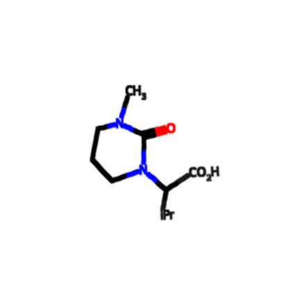 CC(C)C(C(=O)O)N1CCCN(C)C1=O